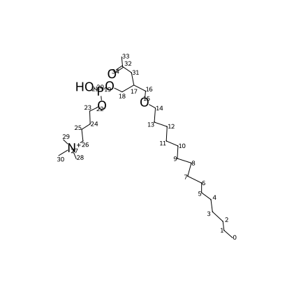 CCCCCCCCCCCCCCCOCC(COP(O)OCCCC[N+](C)(C)C)CC(C)=O